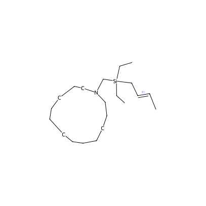 C/C=C/C[Si](CC)(CC)CN1CCCCCCCCCCCC1